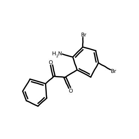 Nc1c(Br)cc(Br)cc1C(=O)C(=O)c1ccccc1